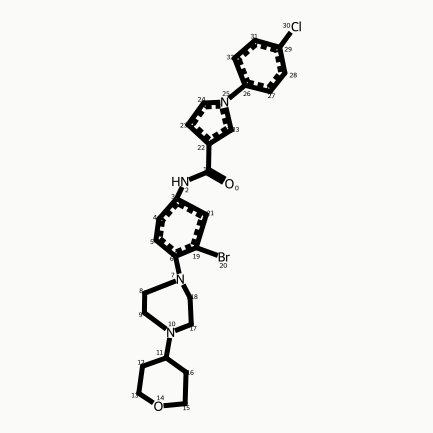 O=C(Nc1ccc(N2CCN(C3CCOCC3)CC2)c(Br)c1)c1ccn(-c2ccc(Cl)cc2)c1